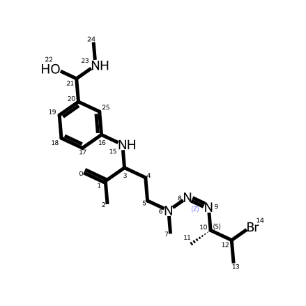 C=C(C)C(CCN(C)/N=N\[C@@H](C)C(C)Br)Nc1cccc(C(O)NC)c1